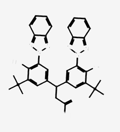 CC(C)(C)c1cc(C(CC(=O)O)c2cc(-n3nc4ccccc4n3)c(O)c(C(C)(C)C)c2)cc(-n2nc3ccccc3n2)c1O